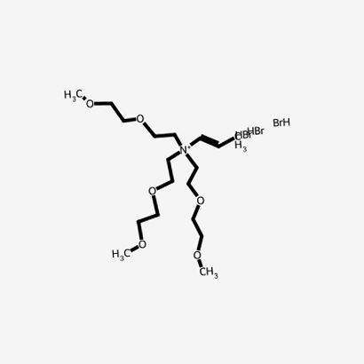 Br.Br.Br.CC=C[N+](CCOCCOC)(CCOCCOC)CCOCCOC